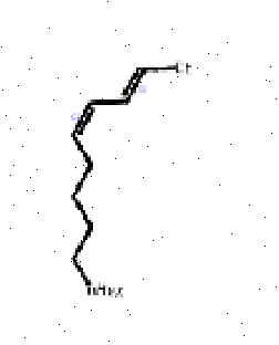 [CH2]CCCCCCCCC/C=C\C=C\CC